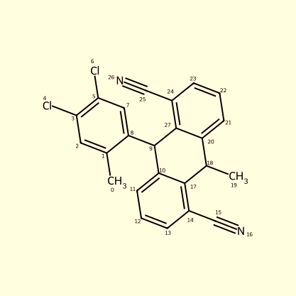 Cc1cc(Cl)c(Cl)cc1C1c2cccc(C#N)c2C(C)c2cccc(C#N)c21